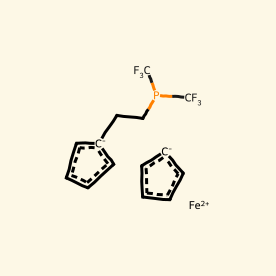 FC(F)(F)P(CC[c-]1cccc1)C(F)(F)F.[Fe+2].c1cc[cH-]c1